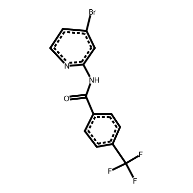 O=C(Nc1cc(Br)ccn1)c1ccc(C(F)(F)F)cc1